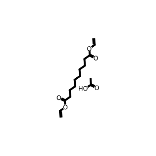 C=COC(=O)CCCCCCCCC(=O)OC=C.CC(=O)O